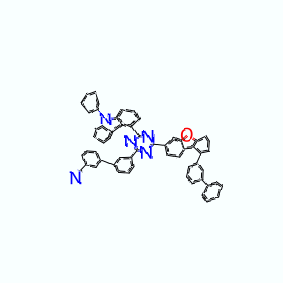 N#Cc1cccc(-c2cccc(-c3nc(-c4ccc5c(c4)oc4cccc(-c6cccc(-c7ccccc7)c6)c45)nc(-c4cccc5c4c4ccccc4n5-c4ccccc4)n3)c2)c1